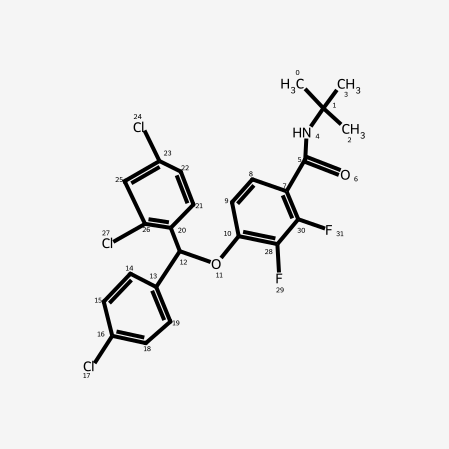 CC(C)(C)NC(=O)c1ccc(OC(c2ccc(Cl)cc2)c2ccc(Cl)cc2Cl)c(F)c1F